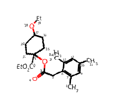 CCOC(=O)C1(OC(=O)Cc2c(C)cc(C)cc2C)CCC(OCC)CC1